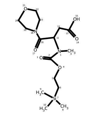 CN(C(=O)OCC[Si](C)(C)C)C(CC(=O)O)C(=O)N1CCOCC1